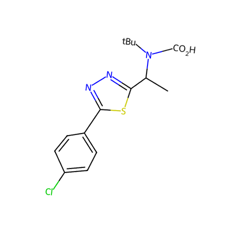 CC(c1nnc(-c2ccc(Cl)cc2)s1)N(C(=O)O)C(C)(C)C